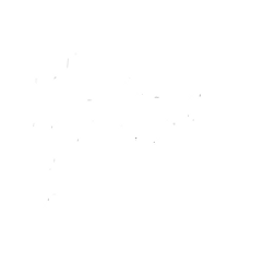 CCC(=O)Oc1cccc(F)c1COc1cc(Cl)c(CC)cc1Cl